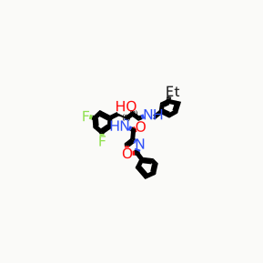 CCc1cccc(CNC[C@@H](O)[C@H](Cc2cc(F)cc(F)c2)NC(=O)c2coc(-c3ccccc3)n2)c1